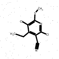 CCc1c(Cl)c(SC)nc(Cl)c1C#N